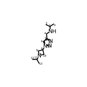 CC(C)NCc1cn(C2CN(C(C)C)C2)nn1